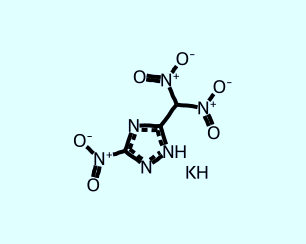 O=[N+]([O-])c1n[nH]c(C([N+](=O)[O-])[N+](=O)[O-])n1.[KH]